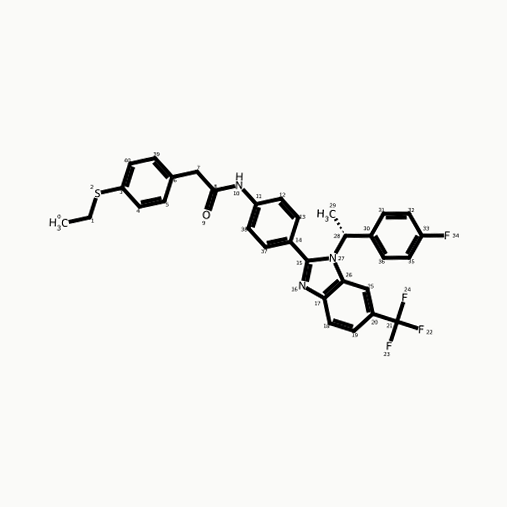 CCSc1ccc(CC(=O)Nc2ccc(-c3nc4ccc(C(F)(F)F)cc4n3[C@H](C)c3ccc(F)cc3)cc2)cc1